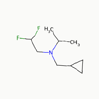 CC(C)N(CC(F)F)CC1CC1